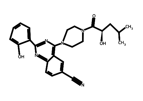 CC(C)C[C@@H](O)C(=O)N1CCN(c2nc(-c3ccccc3O)nc3ccc(C#N)cc23)CC1